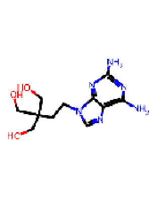 Nc1nc(N)c2ncn(CCC(CO)(CO)CO)c2n1